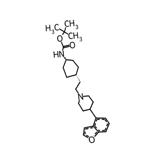 CC(C)(C)OC(=O)N[C@H]1CC[C@H](CCN2CCC(c3cccc4occc34)CC2)CC1